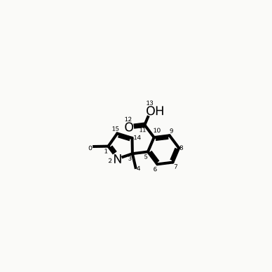 CC1=NC(C)(c2ccccc2C(=O)O)C=C1